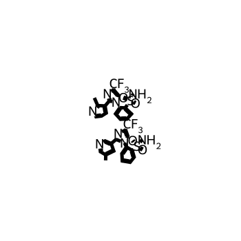 Cc1cncc(-c2nc(C(F)(F)F)cn2-c2ccccc2S(N)(=O)=O)c1.Cc1ncccc1-c1nc(C(F)(F)F)cn1-c1ccccc1S(N)(=O)=O